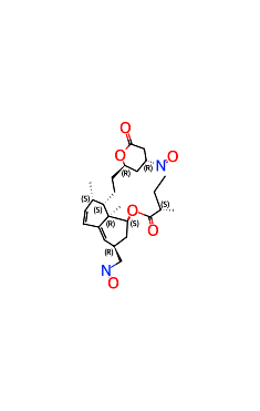 CC[C@H](C)C(=O)O[C@H]1C[C@@H](CN=O)C=C2C=C[C@H](C)[C@H](CC[C@@H]3C[C@@H](N=O)CC(=O)O3)[C@]21C